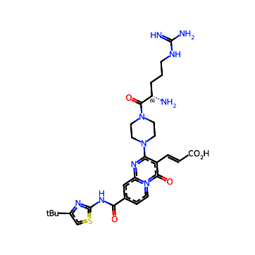 CC(C)(C)c1csc(NC(=O)c2ccn3c(=O)c(C=CC(=O)O)c(N4CCN(C(=O)[C@@H](N)CCCNC(=N)N)CC4)nc3c2)n1